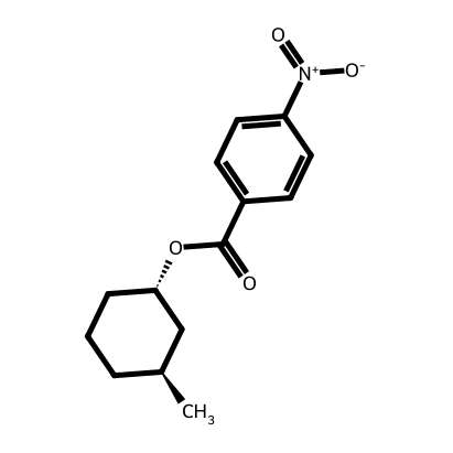 C[C@H]1CCC[C@H](OC(=O)c2ccc([N+](=O)[O-])cc2)C1